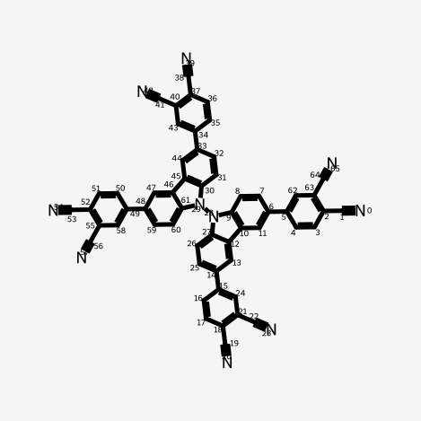 N#Cc1ccc(-c2ccc3c(c2)c2cc(-c4ccc(C#N)c(C#N)c4)ccc2n3-n2c3ccc(-c4ccc(C#N)c(C#N)c4)cc3c3cc(-c4ccc(C#N)c(C#N)c4)ccc32)cc1C#N